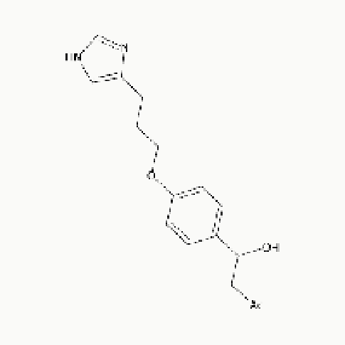 CC(=O)CC(O)c1ccc(OCCCc2c[nH]cn2)cc1